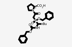 CCCCC(NC(=O)OCc1ccccc1)P(=O)(CC(=O)N1CCC[C@H]1C(=O)O)OCc1ccccc1